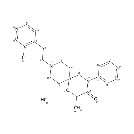 CC1OC2(CCN(CCc3ccncc3Cl)CC2)CN(c2ccccc2)C1=O.Cl